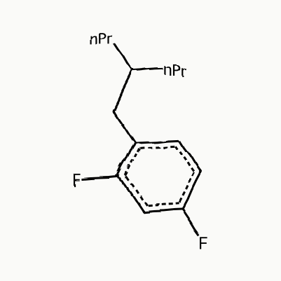 CCCC(CCC)Cc1ccc(F)cc1F